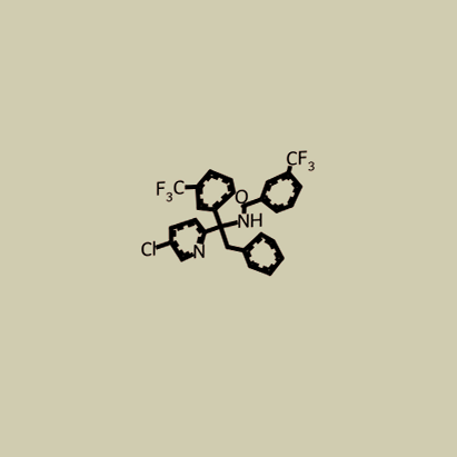 O=C(NC(Cc1ccccc1)(c1cccc(C(F)(F)F)c1)c1ccc(Cl)cn1)c1cccc(C(F)(F)F)c1